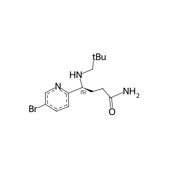 CC(C)(C)CN[C@@H](CCC(N)=O)c1ccc(Br)cn1